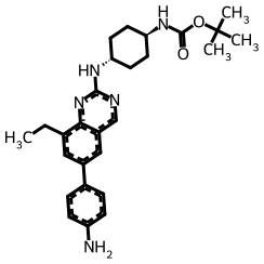 CCc1cc(-c2ccc(N)cc2)cc2cnc(N[C@H]3CC[C@H](NC(=O)OC(C)(C)C)CC3)nc12